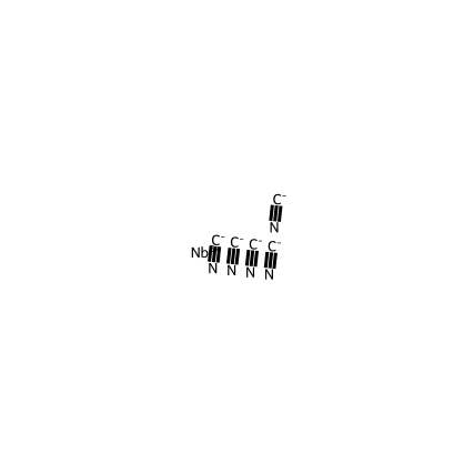 [C-]#N.[C-]#N.[C-]#N.[C-]#N.[C-]#N.[Nb+5]